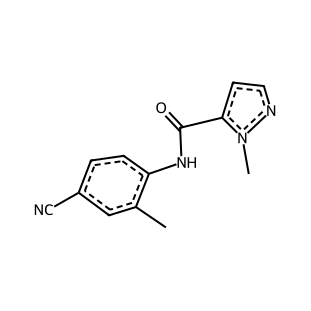 Cc1cc(C#N)ccc1NC(=O)c1ccnn1C